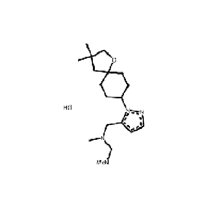 CNCN(C)Cc1ccnn1C1CCC2(CC1)CC(C)(C)CO2.Cl